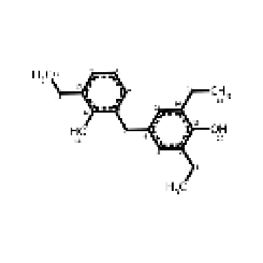 CCc1cc(Cc2c[c]cc(CC)c2O)cc(CC)c1O